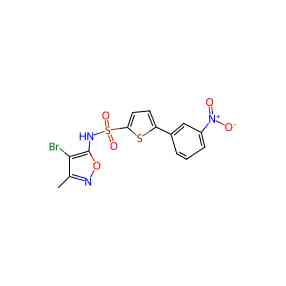 Cc1noc(NS(=O)(=O)c2ccc(-c3cccc([N+](=O)[O-])c3)s2)c1Br